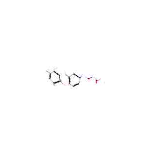 COC(=O)NC(=O)Nc1ccc(Oc2cc(Cl)c(Cl)cc2Cl)c(Cl)c1